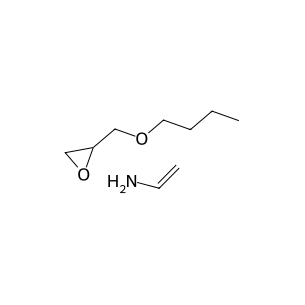 C=CN.CCCCOCC1CO1